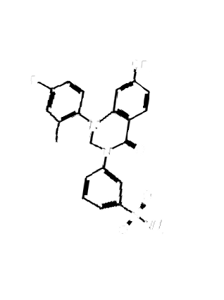 Cc1cc(F)ccc1N1CN(c2cccc(S(N)(=O)=O)c2)C(=O)c2ccc(C(F)(F)F)cc21